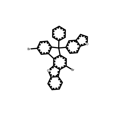 Brc1ccc2c(c1)-c1c(cc(Br)c3c1oc1ccccc13)C2(c1ccccc1)c1ccc2occc2c1